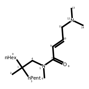 CCCCCCC(C)(CCCCC)CN(C)C(=O)/C=C/CN(C)C